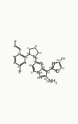 C/C=C/c1ccc(F)cc1C1CCCN1c1ccn2nc(N)c(-c3nc(C)co3)c2n1